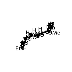 C=C1C[C@H]2C=Nc3cc(OCCCC(=O)Nc4cn(C)c(C(=O)Nc5cc(C(=O)Nc6cc(C(=O)n7ccc8cc(NCC)ccc87)n(C)c6)n(C)c5)n4)c(OC)cc3C(=O)N2C1